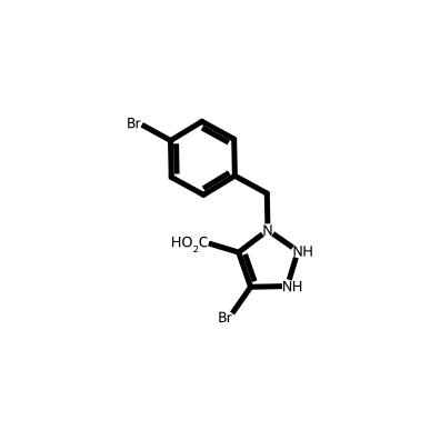 O=C(O)C1=C(Br)NNN1Cc1ccc(Br)cc1